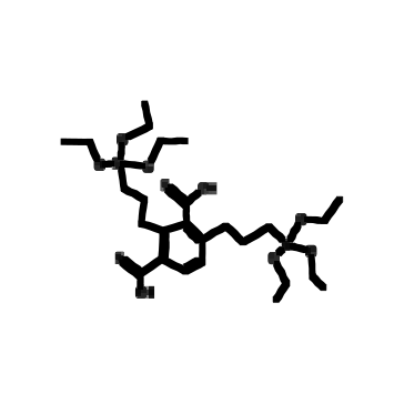 CCO[Si](CCCc1ccc(C(O)=S)c(CCC[Si](OCC)(OCC)OCC)c1C(O)=S)(OCC)OCC